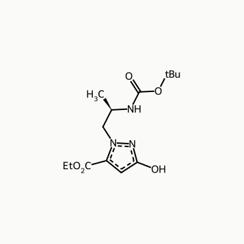 CCOC(=O)c1cc(O)nn1C[C@@H](C)NC(=O)OC(C)(C)C